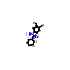 Cc1cc2nc(C3CCCCC3)[nH]c2cc1C